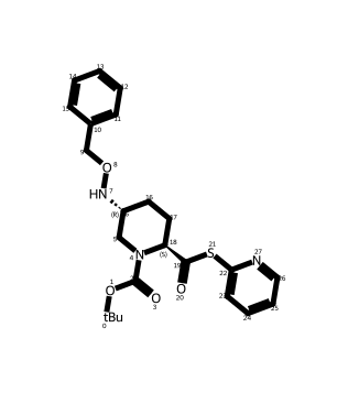 CC(C)(C)OC(=O)N1C[C@H](NOCc2ccccc2)CC[C@H]1C(=O)Sc1ccccn1